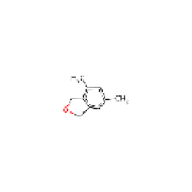 Cc1cc(C)c2c(c1)COC2